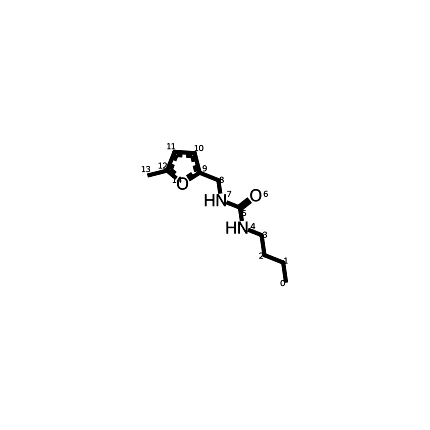 CCCCNC(=O)NCc1ccc(C)o1